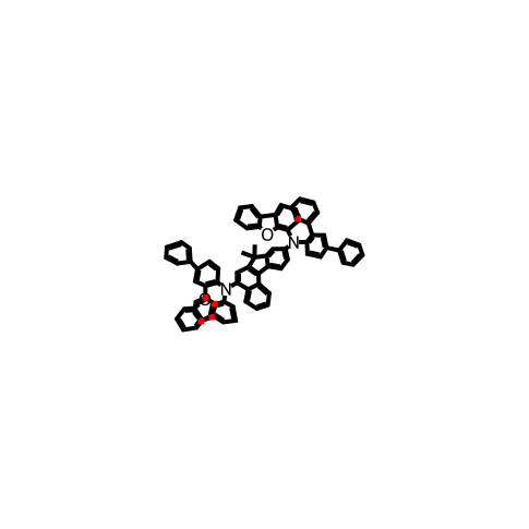 CC1(C)c2cc(N(c3ccc(-c4ccccc4)cc3-c3ccccc3)c3cccc4c3oc3ccccc34)ccc2-c2c1cc(N(c1ccc(-c3ccccc3)cc1-c1ccccc1)c1cccc3c1oc1ccccc13)c1ccccc21